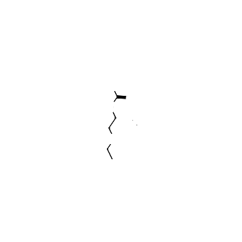 CCOCCOC(=S)S.[Ni]